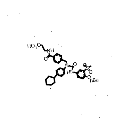 CCCCOc1ccc(NC(=O)N(Cc2ccc(C(=O)NCCC(=O)O)cc2)c2ccc(C3CCCCC3)cc2)cc1S(C)(=O)=O